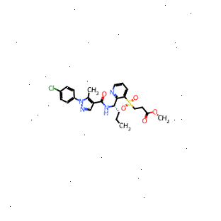 CCC[C@H](NC(=O)c1cnn(-c2ccc(Cl)cc2)c1C)c1ncccc1S(=O)(=O)CCC(=O)OC